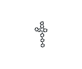 c1ccc(-c2ccc(-c3ccc(N4c5ccccc5-c5cc6ccccc6cc5-n5c4cc4ccccc45)cc3)cc2)cc1